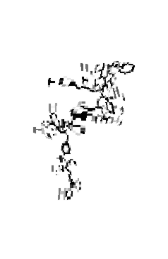 C#CCCCON(C(=O)[C@@H](NC(=O)[C@H]1CCCCN1C)[C@@H](C)CC)[C@H](C[C@@H](OC(C)=O)c1nc(C(=O)N[C@@H](Cc2ccc(NC(=O)[C@H](N)CCC(=O)O)cc2)CC(C)(C)C(=O)O)cs1)C(C)C